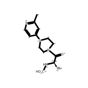 Cc1cc(N2CCN(C(=O)[C@H](NC(=O)O)C(C)(C)C)CC2)ccn1